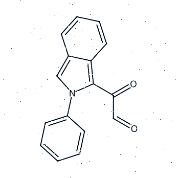 O=CC(=O)c1c2ccccc2cn1-c1ccccc1